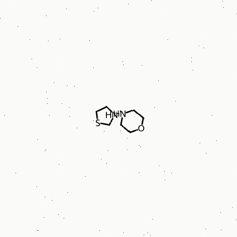 C1COCCN1.C1CSCN1